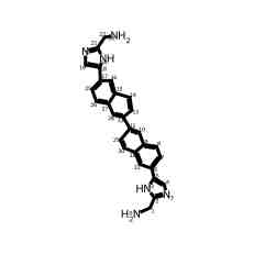 NCc1ncc(-c2ccc3cc(-c4ccc5cc(-c6cnc(CN)[nH]6)ccc5c4)ccc3c2)[nH]1